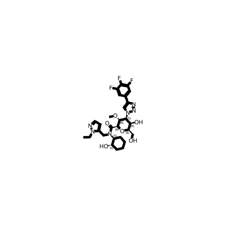 CCn1nccc1CN(C(=O)[C@@H]1O[C@H](CO)[C@H](O)[C@H](n2cc(-c3cc(F)c(F)c(F)c3)nn2)[C@H]1OC)[C@H]1CCCC[C@@H]1O